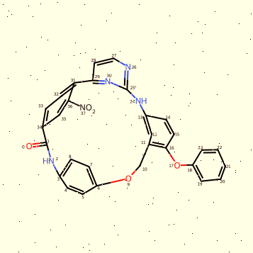 O=C1Nc2ccc(cc2)OCc2cc(ccc2Oc2ccccc2)Nc2nccc(n2)-c2ccc1cc2[N+](=O)[O-]